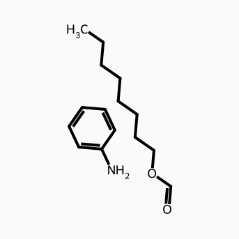 CCCCCCCCOC=O.Nc1ccccc1